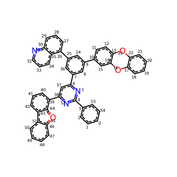 c1ccc(-c2nc(-c3cc(-c4ccc5c(c4)Oc4ccccc4O5)cc(-c4cccc5ncccc45)c3)cc(-c3cccc4c3oc3ccccc34)n2)cc1